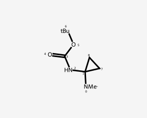 C[N]C1(NC(=O)OC(C)(C)C)CC1